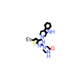 CCc1cc2c(N3CCc4c([nH]c5ccccc45)C3)nc(N3CCNC(=O)C3)nc2s1